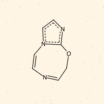 C1=Cn2ccnc2OCC=N1